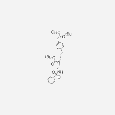 CC(C)(C)OC(=O)N(CCCc1ccc(CN(C=O)OC(C)(C)C)cc1)CCNS(=O)(=O)c1ccccc1